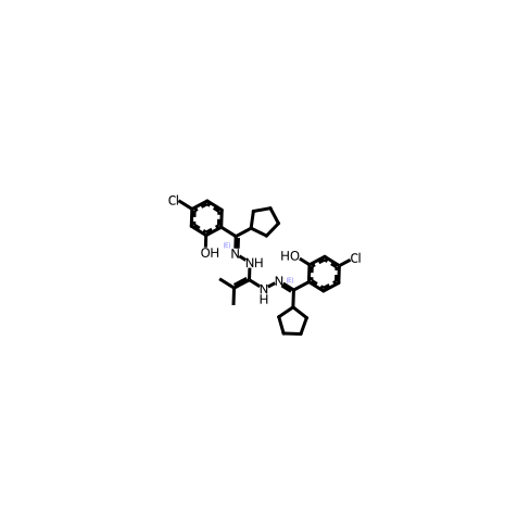 CC(C)=C(N/N=C(/c1ccc(Cl)cc1O)C1CCCC1)N/N=C(/c1ccc(Cl)cc1O)C1CCCC1